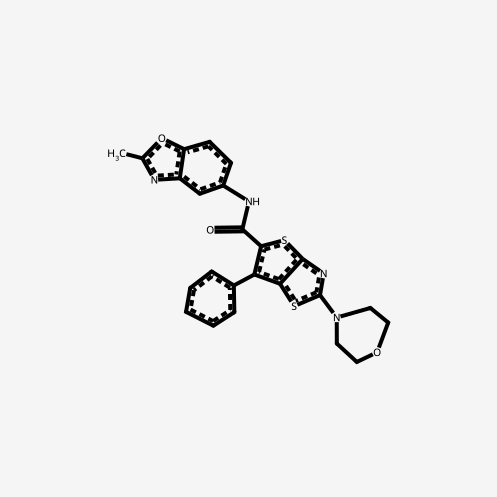 Cc1nc2cc(NC(=O)c3sc4nc(N5CCOCC5)sc4c3-c3ccccc3)ccc2o1